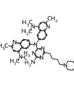 Cc1cc(N(C)C)c2cc(N(c3ccc4nc(C)cc(N(C)C)c4c3)c3nc(N)nc(CCCCN4CCCCC4)n3)ccc2n1